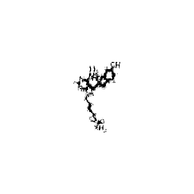 NC(=O)OCCCCn1nc(-c2cc3ccc(O)cc3[nH]2)c2c(N)ncnc21